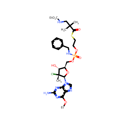 CCOC(=O)NCC(C)(C)C(=O)SCCO[P@@](=O)(NCc1ccccc1)OC[C@H]1O[C@@H](n2cnc3c(OCC)nc(N)nc32)[C@](C)(Cl)[C@@H]1O